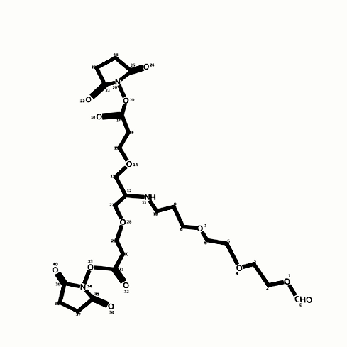 O=COCCOCCOCCCNC(COCCC(=O)ON1C(=O)CCC1=O)COCCC(=O)ON1C(=O)CCC1=O